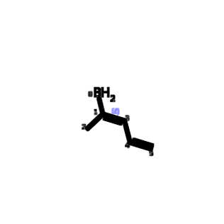 B/C(C)=C/C=C